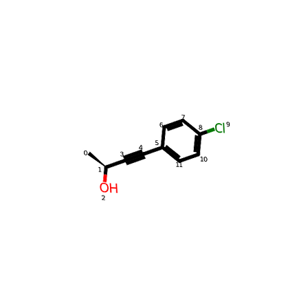 C[C@H](O)C#Cc1ccc(Cl)cc1